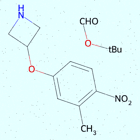 CC(C)(C)OC=O.Cc1cc(OC2CNC2)ccc1[N+](=O)[O-]